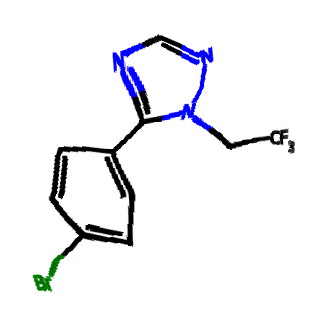 FC(F)(F)Cn1ncnc1-c1ccc(Br)cc1